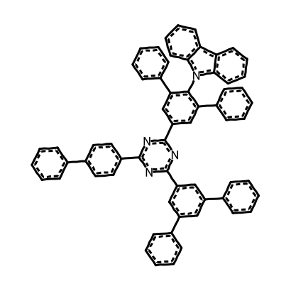 c1ccc(-c2ccc(-c3nc(-c4cc(-c5ccccc5)cc(-c5ccccc5)c4)nc(-c4cc(-c5ccccc5)c(-n5c6ccccc6c6ccccc65)c(-c5ccccc5)c4)n3)cc2)cc1